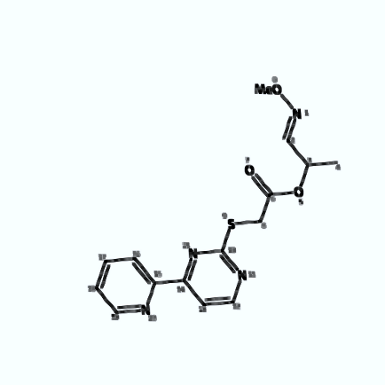 CO/N=C/C(C)OC(=O)CSc1nccc(-c2ccccn2)n1